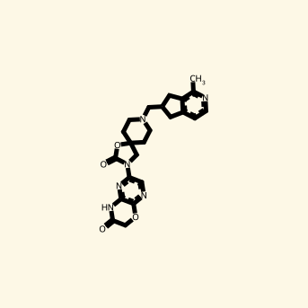 Cc1nccc2c1CC(CN1CCC3(CC1)CN(c1cnc4c(n1)NC(=O)CO4)C(=O)O3)C2